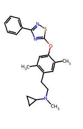 Cc1cc(Oc2nc(-c3ccccc3)ns2)c(C)cc1CCN(C)C1CC1